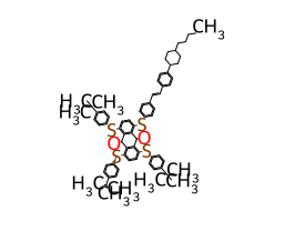 CCCCCC1CCC(c2ccc(/C=C/c3ccc(Sc4ccc(Sc5ccc(C(C)(C)C)cc5)c5c4C(=O)c4c(Sc6ccc(C(C)(C)C)cc6)ccc(Sc6ccc(C(C)(C)C)cc6)c4C5=O)cc3)cc2)CC1